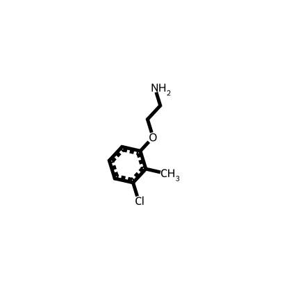 Cc1c(Cl)cccc1OCCN